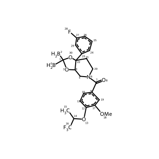 BC1(B)OC2CN(C(=O)c3ccc(OC(C)C(F)(F)F)c(OC)c3)CCC2(c2cccc(F)c2)O1